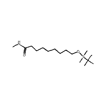 CNC(=O)CCCCCCCCO[Si](C)(C)C(C)(C)C